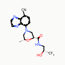 C[C@@H]1CN(c2ccc(C#N)c3nccnc23)C[C@H](C(=O)NC[C@@H](O)C(F)(F)F)O1